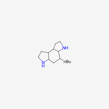 CCCCC1CC2NCCC2C2CCNC12